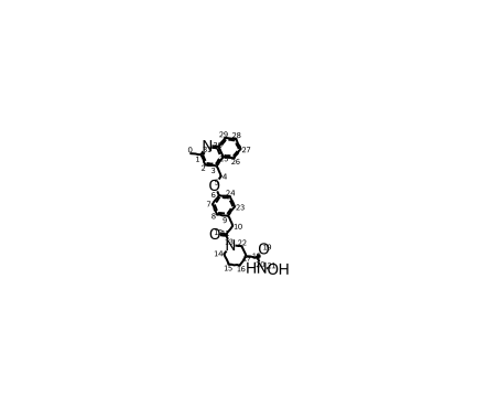 Cc1cc(COc2ccc(CC(=O)N3CCCC(C(=O)NO)C3)cc2)c2ccccc2n1